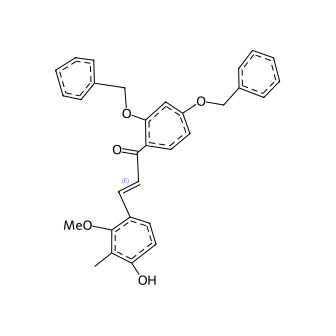 COc1c(/C=C/C(=O)c2ccc(OCc3ccccc3)cc2OCc2ccccc2)ccc(O)c1C